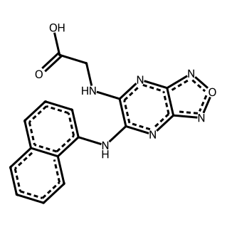 O=C(O)CNc1nc2nonc2nc1Nc1cccc2ccccc12